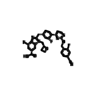 N#Cc1ccc(COc2nccc(-c3ccc(Cc4nc5c(F)cc(C(=O)O)cc5n4C[C@@H]4CCO4)cc3F)n2)c(F)c1